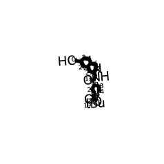 C#Cc1ccc2cnc(NC(=O)[C@H]3CCN(C(=O)OC(C)(C)C)C3)cc2c1